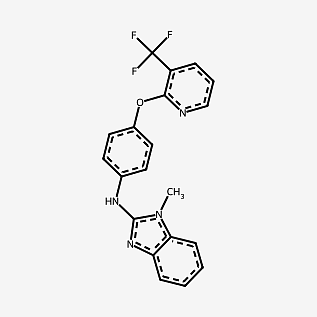 Cn1c(Nc2ccc(Oc3ncccc3C(F)(F)F)cc2)nc2ccccc21